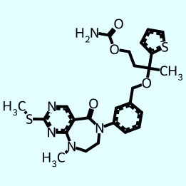 CSc1ncc2c(n1)N(C)CCN(c1cccc(COC(C)(CCOC(N)=O)c3cccs3)c1)C2=O